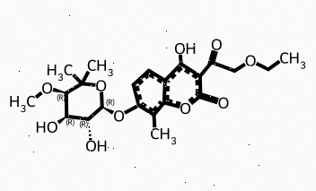 CCOCC(=O)c1c(O)c2ccc(O[C@@H]3OC(C)(C)[C@H](OC)[C@H](O)[C@H]3O)c(C)c2oc1=O